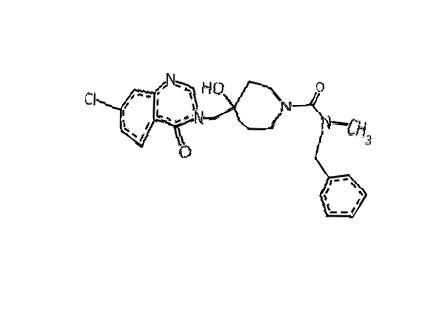 CN(Cc1ccccc1)C(=O)N1CCC(O)(Cn2cnc3cc(Cl)ccc3c2=O)CC1